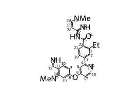 CCc1cc(-c2cc(Oc3ccc(C=N)c(NC)c3)ccn2)ccc1C(=O)NC(=N)/C=C\NC